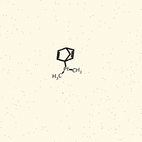 [CH3][Pt]([CH3])[C]12C=CC(C=C1)C2